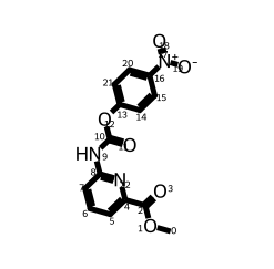 COC(=O)c1cccc(NC(=O)Oc2ccc([N+](=O)[O-])cc2)n1